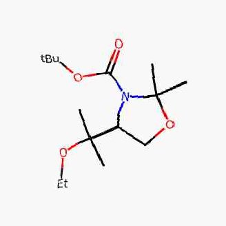 CCOC(C)(C)C1COC(C)(C)N1C(=O)OC(C)(C)C